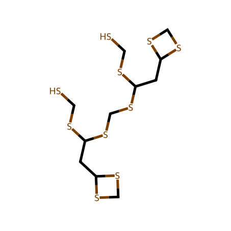 SCSC(CC1SCS1)SCSC(CC1SCS1)SCS